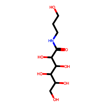 O=C(NCCCO)C(O)C(O)C(O)C(O)CO